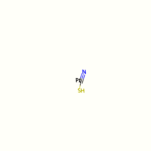 N#CS.[Pt]